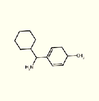 CC1C=CC(C(N)C2CCCCC2)=CC1